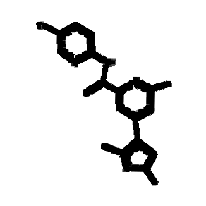 Cc1cc(-c2cc(C)nn2C)cc(C(=O)Nc2ccc(Cl)cn2)n1